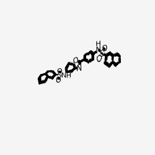 O=S(=O)(Nc1ccc(-c2nc3cc(NS(=O)(=O)c4ccc5ccccc5c4)ccc3o2)cc1)c1ccc2ccccc2c1